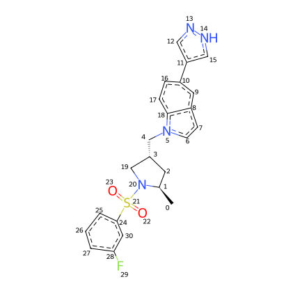 C[C@@H]1C[C@@H](Cn2ccc3cc(-c4cn[nH]c4)ccc32)CN1S(=O)(=O)c1cccc(F)c1